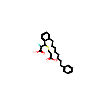 O=C(O)CCSC(c1ccccc1CCCCCCCCc1ccccc1)C(F)C(=O)O